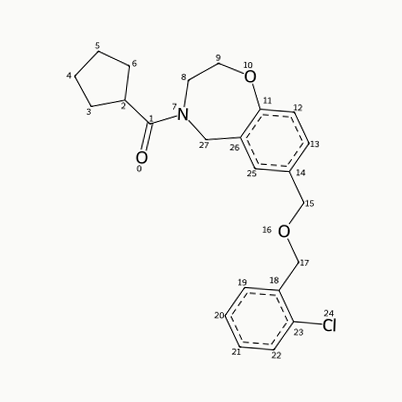 O=C(C1CCCC1)N1CCOc2ccc(COCc3ccccc3Cl)cc2C1